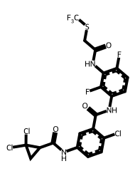 O=C(CSC(F)(F)F)Nc1c(F)ccc(NC(=O)c2cc(NC(=O)C3CC3(Cl)Cl)ccc2Cl)c1F